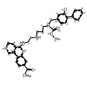 COC(=O)c1ccc2c(c1)nc(NCCNCCCN(Cc1ccc(-c3ccccc3)c(Cl)c1)C(=O)OC(C)(C)C)c1ccncc12